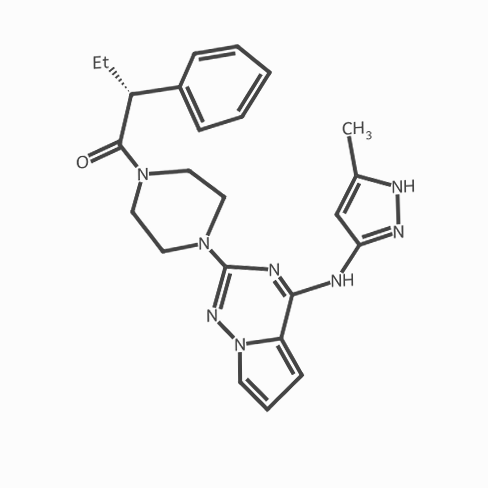 CC[C@@H](C(=O)N1CCN(c2nc(Nc3cc(C)[nH]n3)c3cccn3n2)CC1)c1ccccc1